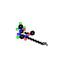 CCCCCCCCCCCCCC(=O)Nc1ccc(Cl)c(NC2=NN(c3c(Cl)cc(Cl)cc3Cl)C(=O)C2SCCCOc2ccccc2)c1